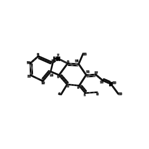 C/C=c1/c(C)c2c([nH]c3ccccc32)c(C)/c1=C/C=N/C